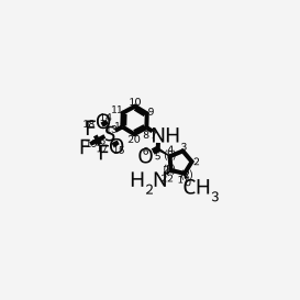 C[C@@H]1CC[C@H](C(=O)Nc2cccc(S(=O)(=O)C(F)(F)F)c2)[C@@H]1N